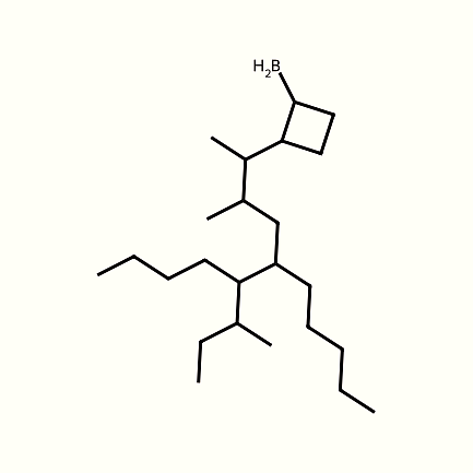 BC1CCC1C(C)C(C)CC(CCCCC)C(CCCC)C(C)CC